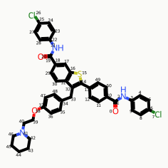 O=C(Nc1ccc(Cl)cc1)c1ccc(-c2sc3cc(C(=O)Nc4ccc(Cl)cc4)ccc3c2Cc2ccc(OCCN3CCCCC3)cc2)cc1